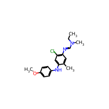 CCN(C)C=Nc1cc(C)c(Nc2ccc(OC)cc2)cc1Cl